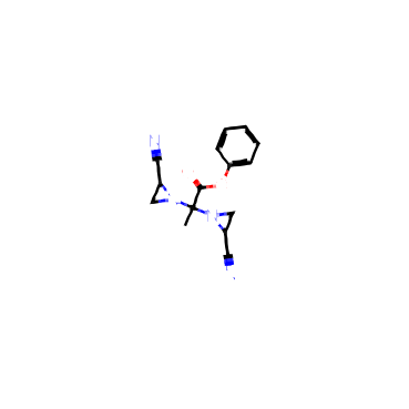 CC(C(=O)Oc1ccccc1)(N1CC1C#N)N1CC1C#N